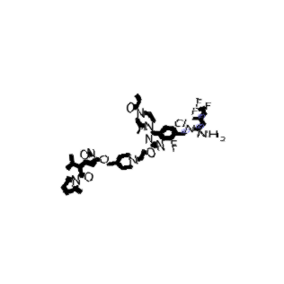 C=CC(=O)N1CCN(c2nc(OCCN3CCC(COc4cc(C(C(=O)N5CCCC5C)C(C)C)on4)CC3)nc3c(F)c(/C=N/C(N)=C\C(C)=C\C(F)(F)F)c(Cl)cc23)[C@@H](C)C1